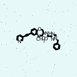 CN1C(=O)[C@@H](NC(=O)c2ncn(Cc3ccccc3)n2)COc2ccc(C#Cc3cccnc3)cc21